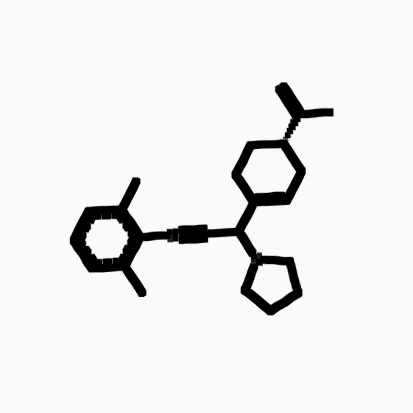 C=C(C)[C@@H]1CC=C(C(C#[N+]c2c(C)cccc2C)N2CCCC2)CC1